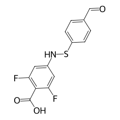 O=Cc1ccc(SNc2cc(F)c(C(=O)O)c(F)c2)cc1